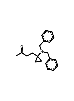 CC(=O)CCC1(N(Cc2ccccc2)Cc2ccccc2)CC1